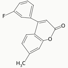 Cc1ccc2c(-c3cccc(F)c3)cc(=O)oc2c1